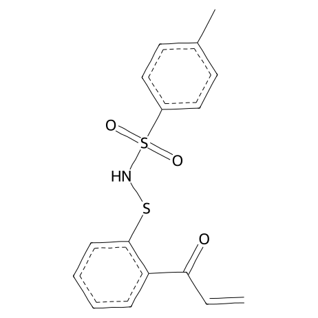 C=CC(=O)c1ccccc1SNS(=O)(=O)c1ccc(C)cc1